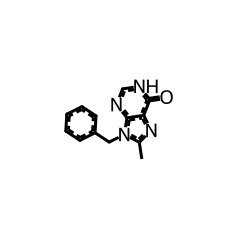 Cc1nc2c(=O)[nH]cnc2n1Cc1ccccc1